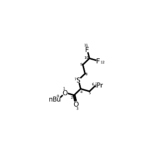 CCCCOC(=O)C(CC(C)C)SCCC(F)F